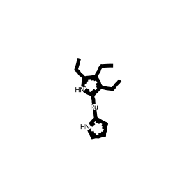 CCc1[nH][c]([Ru][c]2ccc[nH]2)c(CC)c1CC